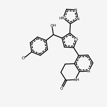 O=C1CCc2c(-c3cc(C(O)c4ccc(Cl)cc4)c(-c4nnc[nH]4)s3)ccnc2N1